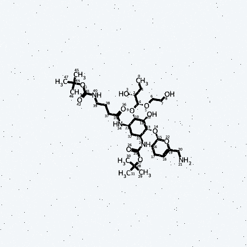 CC[C@@H](O)[C@H](OCCO)O[C@@H]1[C@@H](O)[C@H](O[C@@H]2CCC=C(CN)O2)[C@@H](NC(=O)OC(C)(C)C)C[C@H]1NC(=O)CCCNC(=O)OC(C)(C)C